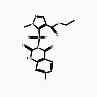 CCOC(=O)c1cnn(C)c1S(=O)(=O)n1c(=O)[nH]c2cc(Cl)ccc2c1=O